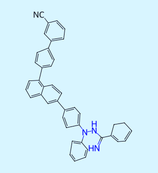 N#Cc1cccc(-c2ccc(-c3cccc4cc(-c5ccc(N(NC(=N)C6=CC=CCC6)c6ccccc6)cc5)ccc34)cc2)c1